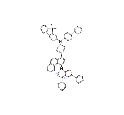 C=C/C=C(\C=C/N(c1ccc(-c2ccccc2)cc1)c1ccc(-c2ccc(N(c3ccc(-c4ccccc4)cc3)c3ccc4c(c3)C(C)(C)c3ccccc3-4)cc2)c2ccc3ccccc3c12)c1ccccc1